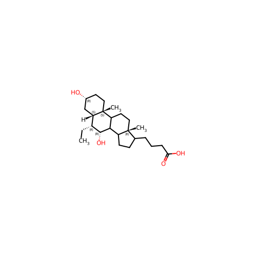 CC[C@H]1[C@@H](O)C2C3CCC(CCCC(=O)O)[C@@]3(C)CCC2[C@@]2(C)CC[C@@H](O)C[C@@H]12